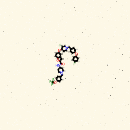 O=C(NC1CCN(Cc2ccc(OC(F)(F)F)cc2)CC1)c1cc2cc(O[C@@H]3CCN(Cc4ccc(Oc5ccc(F)cc5)cc4)C[C@H]3F)ccc2o1